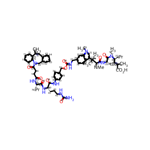 CNC(C(=O)N[C@H](C(=O)N(C)[C@H](/C=C(\C)C(=O)O)C(C)C)C(C)(C)C)C(C)(C)c1cn(C)c2cc(CNC(=O)OCc3ccc(NC(=O)[C@H](CCCNC(N)=O)NC(=O)[C@@H](NC(=O)CCC(=O)N4Cc5ccccc5/C=C(/C)c5ccccc54)C(C)C)cc3)ccc12